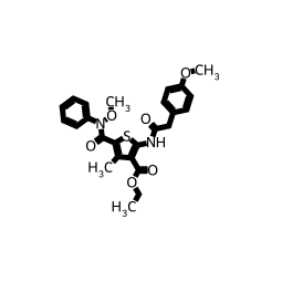 CCOC(=O)c1c(NC(=O)Cc2ccc(OC)cc2)sc(C(=O)N(OC)c2ccccc2)c1C